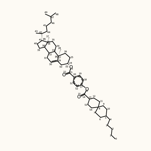 CCCCCC1CCC2(CC1)CCC(C(=O)Oc1ccc(C(=O)O[C@H]3CC[C@@]4(C)C(=CCC5C4CC[C@@]4(C)C5CC[C@@H]4C(C)CCCC(C)C)C3)cc1)CC2